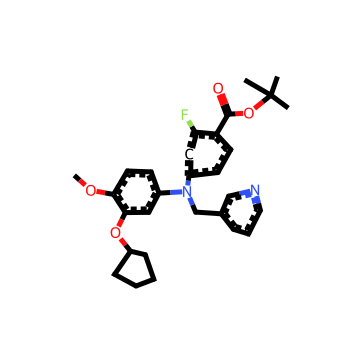 COc1ccc(N(Cc2cccnc2)c2ccc(C(=O)OC(C)(C)C)c(F)c2)cc1OC1CCCC1